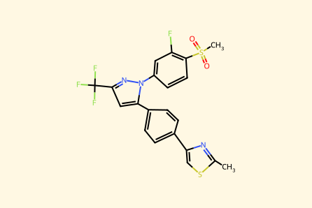 Cc1nc(-c2ccc(-c3cc(C(F)(F)F)nn3-c3ccc(S(C)(=O)=O)c(F)c3)cc2)cs1